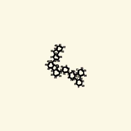 c1cc(-c2cnc3c4ccccc4c4ccccc4c3n2)cc(-c2cccc3c2oc2c(-c4ccc5c(c4)Cc4ccccc4-5)cccc23)c1